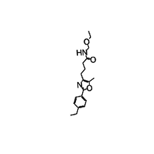 CCOCNC(=O)CCCc1nc(-c2ccc(CC)cc2)oc1C